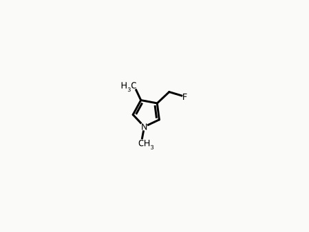 Cc1cn(C)cc1CF